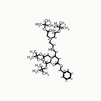 CC(C)(C)OC(=O)CN(CCNCC(CC(=O)OCc1ccccc1)N(CC(=O)OC(C)(C)C)CC(=O)OC(C)(C)C)CC(=O)OC(C)(C)C